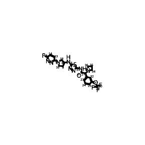 O=C(Nc1nnc(NC2CCN(c3ccc(F)nn3)C2)s1)C(c1cccc(OC(F)(F)F)c1)N1CCC1